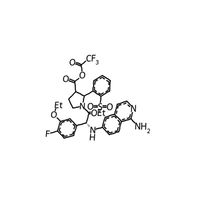 CCOc1cc([C@@H](Nc2ccc3c(N)nccc3c2)C(=O)N2CCC(C(=O)OC(=O)C(F)(F)F)C2c2ccccc2S(=O)(=O)CC)ccc1F